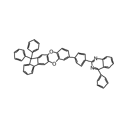 c1ccc(-c2nc(-c3ccc(-c4ccc5c(c4)Oc4cc6c(cc4O5)C(c4ccccc4)(c4ccccc4)c4ccccc4-6)cc3)nc3ccccc23)cc1